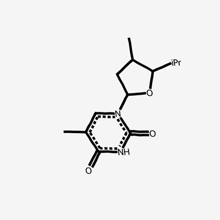 Cc1cn(C2CC(C)C(C(C)C)O2)c(=O)[nH]c1=O